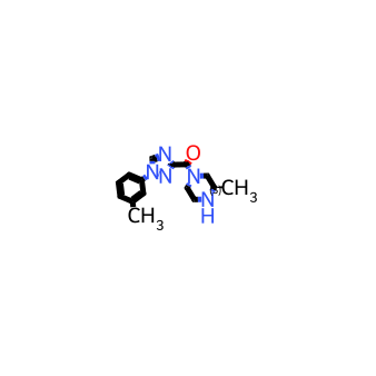 Cc1cccc(-n2cnc(C(=O)N3CCN[C@@H](C)C3)n2)c1